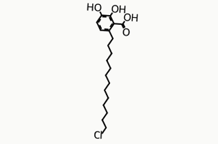 O=C(O)c1c(CCCCCCCCCCCCCCl)ccc(O)c1O